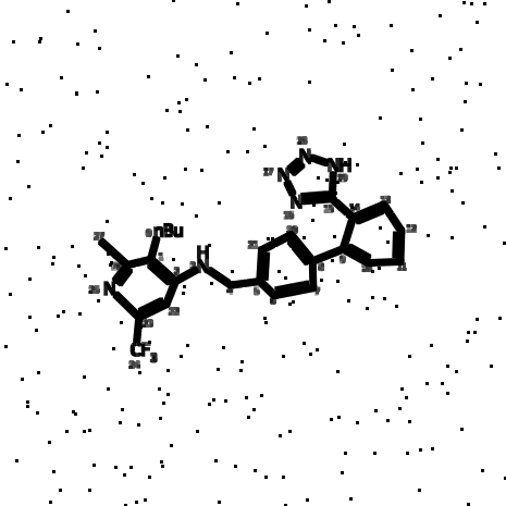 CCCCc1c(NCc2ccc(-c3ccccc3-c3nnn[nH]3)cc2)cc(C(F)(F)F)nc1C